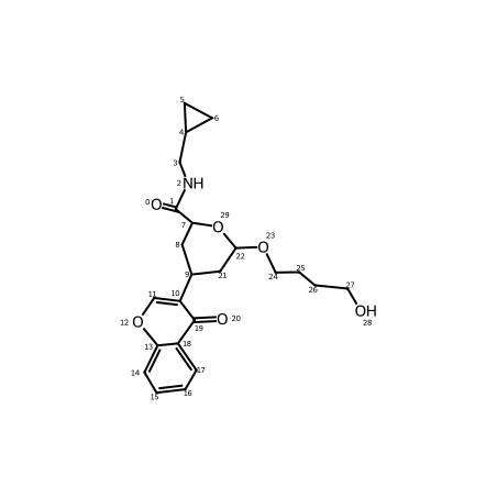 O=C(NCC1CC1)C1CC(c2coc3ccccc3c2=O)CC(OCCCCO)O1